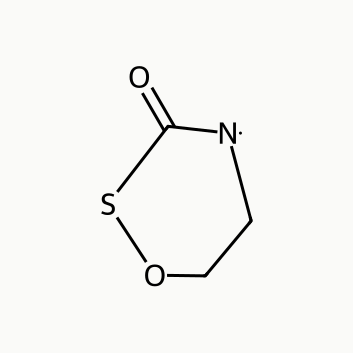 O=C1[N]CCOS1